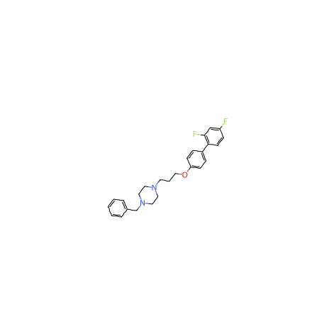 Fc1ccc(-c2ccc(OCCCN3CCN(Cc4ccccc4)CC3)cc2)c(F)c1